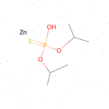 CC(C)OP(O)(=S)OC(C)C.[Zn]